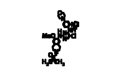 COc1cc2c(cc1Nc1ncc(Cl)c(Nc3ccc(N4CCOCC4)cc3-n3cccn3)n1)CCN(CC(=O)N(C)C)CC2